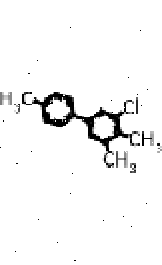 Cc1ccc(-c2cc(C)c(C)c(Cl)c2)cc1